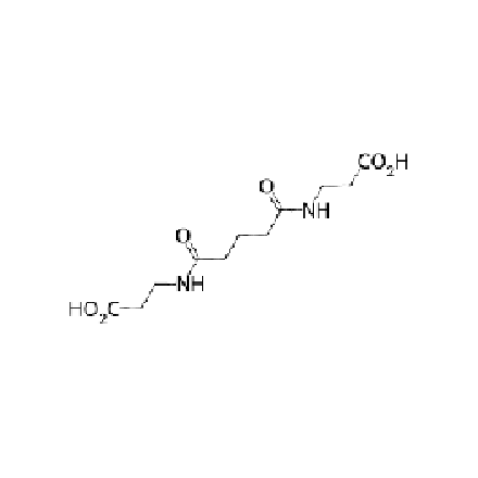 O=C(O)CCNC(=O)CCCC(=O)NCCC(=O)O